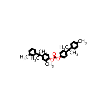 Cc1ccc(C(C)(C)c2ccc(OC(=O)Oc3ccc(C(C)(C)c4cccc(C)c4)cc3C)cc2)cc1